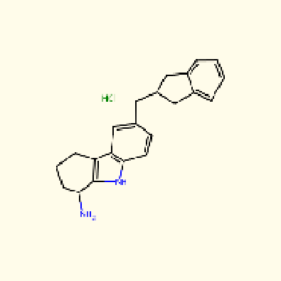 Cl.NC1CCCc2c1[nH]c1ccc(CC3Cc4ccccc4C3)cc21